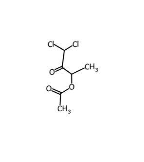 CC(=O)OC(C)C(=O)C(Cl)Cl